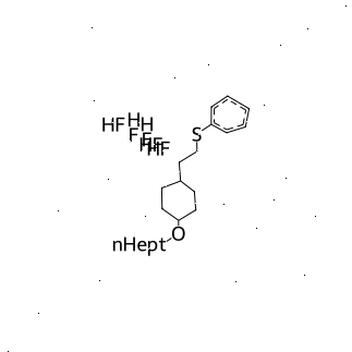 CCCCCCCOC1CCC(CCSc2ccccc2)CC1.F.F.F.F.F